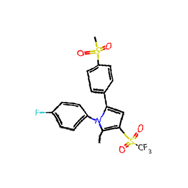 Cc1c(S(=O)(=O)C(F)(F)F)cc(-c2ccc(S(C)(=O)=O)cc2)n1-c1ccc(F)cc1